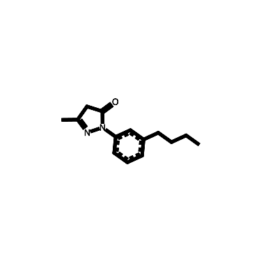 CCCCc1cccc(N2N=C(C)CC2=O)c1